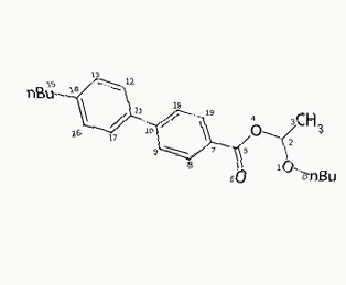 CCCCOC(C)OC(=O)c1ccc(-c2ccc(CCCC)cc2)cc1